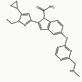 CCn1nc(-c2cc3cc(Oc4ccnc(CNC)n4)ccc3n2C(N)=O)cc1C1CC1